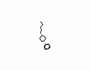 CCCCC[C@H]1CC[C@H](c2ccccc2)CC1